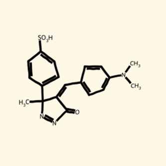 CN(C)c1ccc(C=C2C(=O)N=NC2(C)c2ccc(S(=O)(=O)O)cc2)cc1